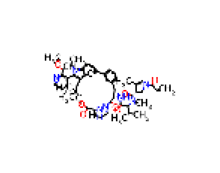 C=CC(=O)N1C=C(C)[C@@H](C(=O)N(C)C(C(=O)N[C@H]2Cc3cccc(c3)-c3ccc4c(c3)c(c(-c3cccnc3[C@H](C)OC)n4CC)CC(C)(C)COC(=O)[C@@H]3CCCN(N3)C2=O)C(C)C)C1